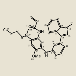 C=CC(=O)Nc1cc(Nc2nccc(-c3cn(C)c4ccccc34)n2)c(OC)cc1N(C)CCCCl